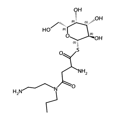 CCCN(CCCN)C(=O)CC(N)C(=O)S[C@@H]1O[C@H](CO)[C@H](O)[C@H](O)[C@H]1O